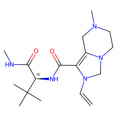 C=CN1CN2CCN(C)CC2=C1C(=O)N[C@H](C(=O)NC)C(C)(C)C